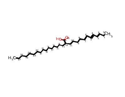 CCCCC=CCCCCCCC(CCCCCCCCCCCCCCCC)C(=O)O